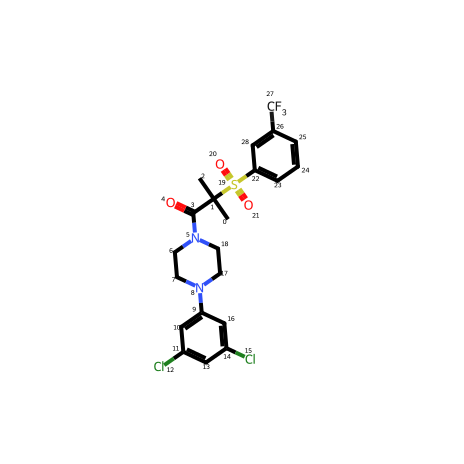 CC(C)(C(=O)N1CCN(c2cc(Cl)cc(Cl)c2)CC1)S(=O)(=O)c1cccc(C(F)(F)F)c1